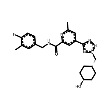 Cc1cc(-c2nnn(C[C@H]3CC[C@H](O)CC3)n2)cc(C(=O)NCc2ccc(F)c(C)c2)n1